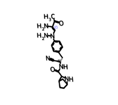 CC(=O)/C(N)=C/N(N)c1ccc(C[C@@H](C#N)NC(=O)C2NC3CCC2C3)cc1